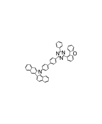 c1ccc(-c2nc(-c3ccc(-c4ccc(-n5c6cc7ccccc7cc6c6ccc7ccccc7c65)cc4)cc3)nc(-c3cccc4oc5ccccc5c34)n2)cc1